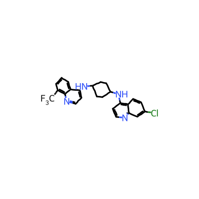 FC(F)(F)c1cccc2c(NC3CCC(Nc4ccnc5cc(Cl)ccc45)CC3)ccnc12